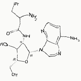 CC(C)CC(N)C(=O)N[C@H]1C(O)[C@@H](CO)O[C@H]1n1cnc2c(N)ccnc21